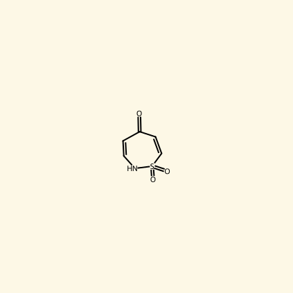 O=C1C=CNS(=O)(=O)C=C1